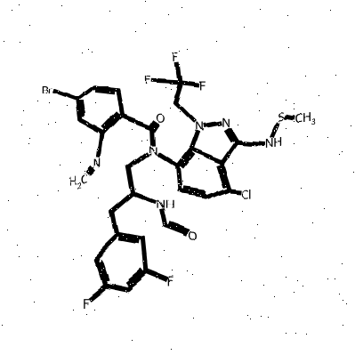 C=Nc1cc(Br)ccc1C(=O)N(CC(Cc1cc(F)cc(F)c1)NC=O)c1ccc(Cl)c2c(NSC)nn(CC(F)(F)F)c12